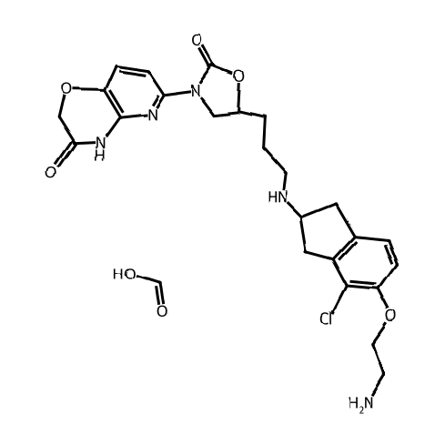 NCCOc1ccc2c(c1Cl)CC(NCCCC1CN(c3ccc4c(n3)NC(=O)CO4)C(=O)O1)C2.O=CO